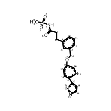 CS(=O)(=O)NC(=O)CCc1cccc(COc2ccc(-c3ccn[nH]3)nc2)c1